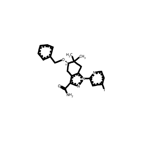 CC1(C)Cc2c(c(C(N)=O)nn2-c2cc(I)ccn2)C[C@@H]1OCc1ccccc1